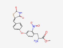 COC(=O)C(N)Cc1ccc(Oc2ccc(C=C3SC(=O)NC3=O)cc2)cc1[N+](=O)[O-]